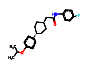 CC(C)Oc1ccc([C@H]2CC[C@H](CC(=O)Nc3ccc(F)cc3)CC2)cc1